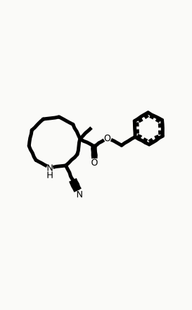 CC1(C(=O)OCc2ccccc2)CCCCCCNC(C#N)C1